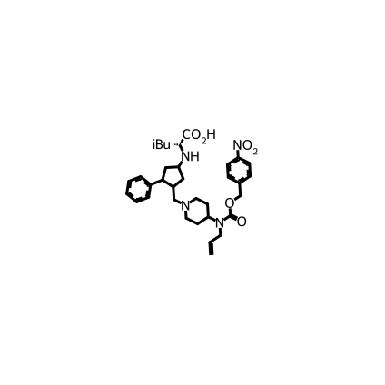 C=CCN(C(=O)OCc1ccc([N+](=O)[O-])cc1)C1CCN(CC2CC(N[C@H](C(=O)O)[C@@H](C)CC)CC2c2ccccc2)CC1